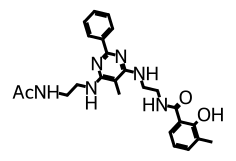 CC(=O)NCCNc1nc(-c2ccccc2)nc(NCCNC(=O)c2cccc(C)c2O)c1C